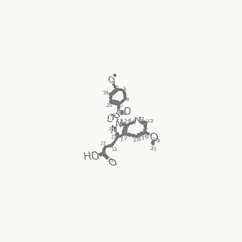 COc1ccc(S(=O)(=O)n2nc(CCC(=O)O)c3cc(OC)cnc32)cc1